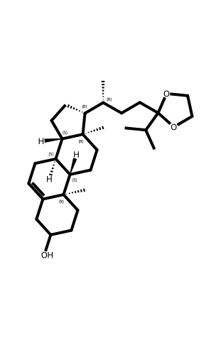 CC(C)C1(CC[C@@H](C)[C@H]2CC[C@H]3[C@@H]4CC=C5CC(O)CC[C@]5(C)[C@H]4CC[C@]23C)OCCO1